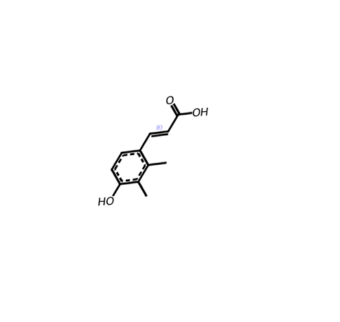 Cc1c(O)ccc(/C=C/C(=O)O)c1C